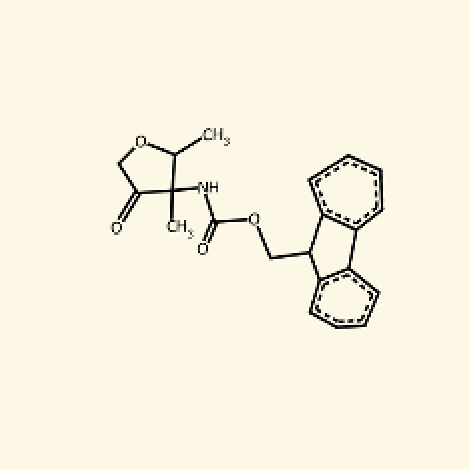 CC1OCC(=O)C1(C)NC(=O)OCC1c2ccccc2-c2ccccc21